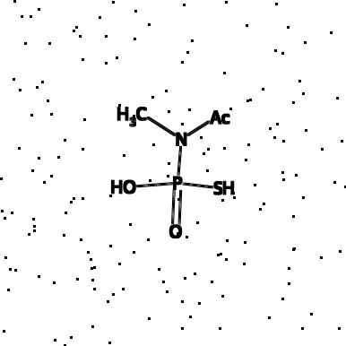 CC(=O)N(C)P(=O)(O)S